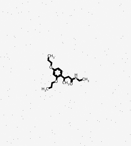 CCCOc1ccc(C(C)CC(=O)NCC)c(OCCC)c1